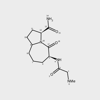 CNCC(=O)N[C@H]1CCCC2CC[C@@H](C(N)=O)N2C1=O